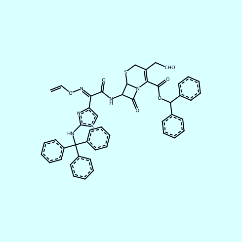 C=CO/N=C(/C(=O)NC1C(=O)N2C(C(=O)OC(c3ccccc3)c3ccccc3)=C(CC=O)CSC12)c1csc(NC(c2ccccc2)(c2ccccc2)c2ccccc2)n1